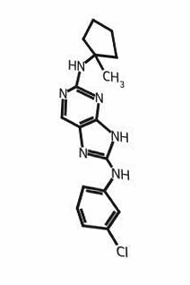 CC1(Nc2ncc3nc(Nc4cccc(Cl)c4)[nH]c3n2)CCCC1